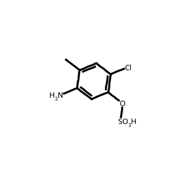 Cc1cc(Cl)c(OS(=O)(=O)O)cc1N